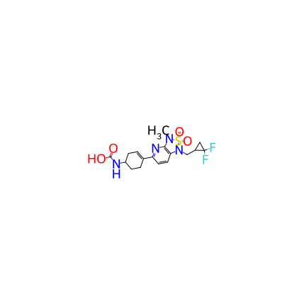 CN1c2nc(C3=CCC(NC(=O)O)CC3)ccc2N(CC2CC2(F)F)S1(=O)=O